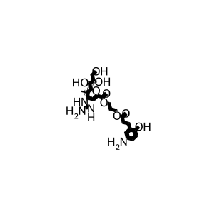 C[C@H]1[C@H]([C@H](O)[C@H](O)CO)OC(C(=O)OCCCOC(=O)CCc2cc(N)ccc2O)=C[C@@H]1NC(=N)N